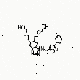 OCOCCc1cc2ncnc(NCc3cc(-c4ccccc4)no3)c2cc1CCOCO